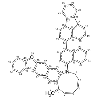 C=C1/C=C\C=C/CN(c2ccc(-c3ccc4c5c(cccc35)-c3ccccc3-4)c3ccccc23)c2cc3cc4oc5ccccc5c4cc3cc21